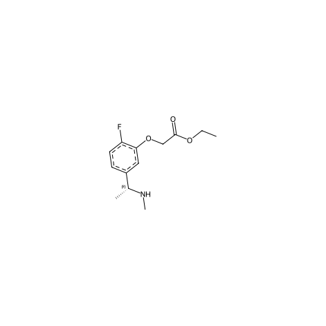 CCOC(=O)COc1cc([C@@H](C)NC)ccc1F